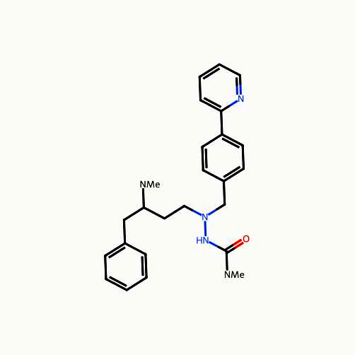 CNC(=O)NN(CCC(Cc1ccccc1)NC)Cc1ccc(-c2ccccn2)cc1